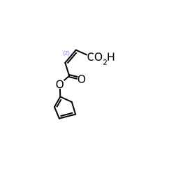 O=C(O)/C=C\C(=O)OC1=CC=CC1